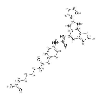 Cn1cc2c(nc(NC(=O)Nc3ccc(CC(=O)NCCCCNC(=O)O)cc3)n3nc(-c4ccco4)nc23)n1